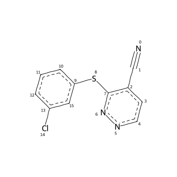 N#Cc1ccnnc1Sc1cccc(Cl)c1